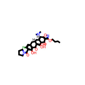 CCCCOc1noc2c1C(=O)[C@@]1(O)C(O)=C3C(=O)c4c(cc(F)c(C(=O)N5CCCC5)c4O)C[C@H]3C[C@H]1[C@@H]2N(C)C